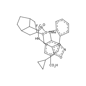 COc1ccc(C(=O)O)cc1NC(=O)C1C2CCC1CC(OCc1c(-c3ccccc3OC(F)(F)F)noc1C1CC1)C2